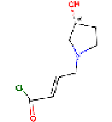 O=C(Cl)C=CCN1CC[C@@H](O)C1